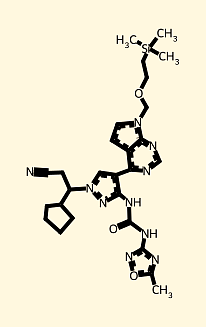 Cc1nc(NC(=O)Nc2nn(C(CC#N)C3CCCC3)cc2-c2ncnc3c2ccn3COCC[Si](C)(C)C)no1